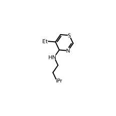 CCC1=CSC=NC1NCCC(C)C